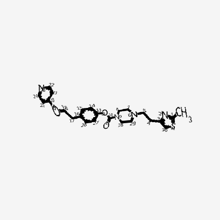 Cc1nc(CCN2CCN(C(=O)Oc3ccc(CCOc4ccncc4)cc3)CC2)cs1